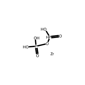 O=[PH](O)OP(=O)(O)O.[Zr]